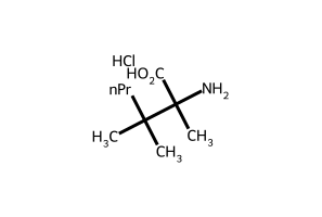 CCCC(C)(C)C(C)(N)C(=O)O.Cl